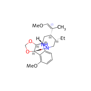 CC[C@@H]1CN2CC[C@@]34OCO[C@@]3(Nc3cccc(OC)c34)[C@@H]2C[C@@H]1/C(C)=C\OC